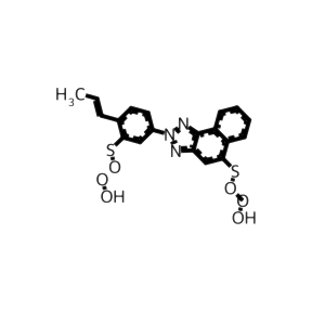 CC=Cc1ccc(-n2nc3cc(SOOO)c4ccccc4c3n2)cc1SOOO